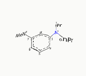 CCCN(CCC)c1cccc(NC)c1